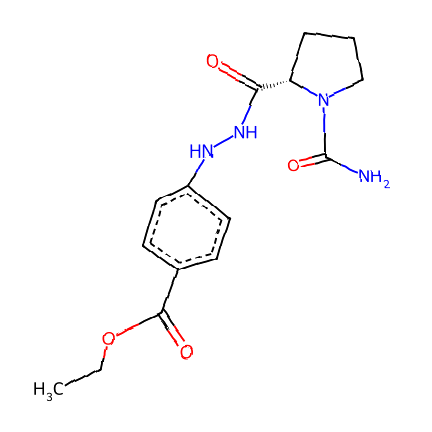 CCOC(=O)c1ccc(NNC(=O)[C@@H]2CCCN2C(N)=O)cc1